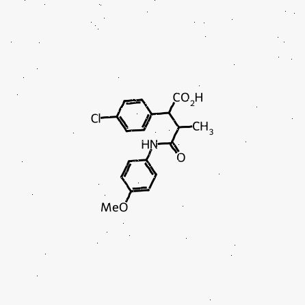 COc1ccc(NC(=O)C(C)C(C(=O)O)c2ccc(Cl)cc2)cc1